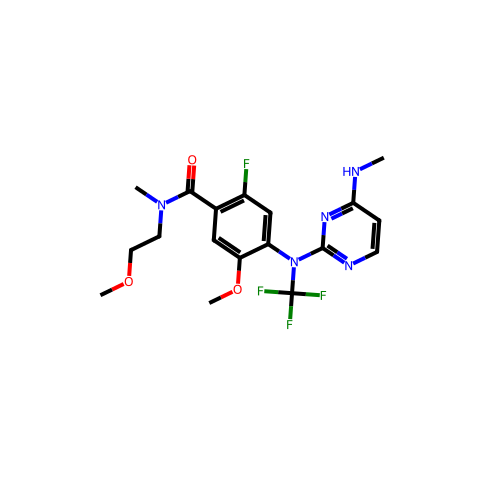 CNc1ccnc(N(c2cc(F)c(C(=O)N(C)CCOC)cc2OC)C(F)(F)F)n1